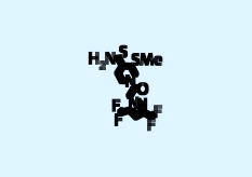 CSC1CN(C(=O)Cn2nc(C(F)F)cc2C(F)F)CCC1C(N)=S